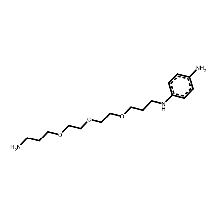 NCCCOCCOCCOCCCNc1ccc(N)cc1